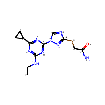 CCNc1nc(C2CC2)nc(-n2cnc(SCC(N)=O)n2)n1